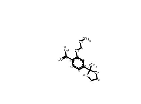 COCOc1cc(C2(C)OCCO2)ccc1C(=O)O